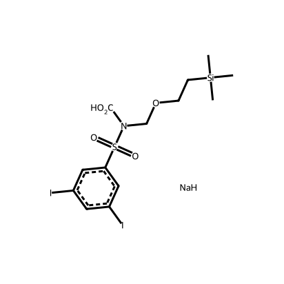 C[Si](C)(C)CCOCN(C(=O)O)S(=O)(=O)c1cc(I)cc(I)c1.[NaH]